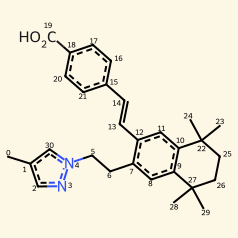 Cc1cnn(CCc2cc3c(cc2C=Cc2ccc(C(=O)O)cc2)C(C)(C)CCC3(C)C)c1